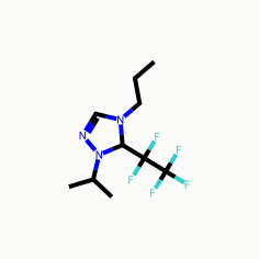 CCCN1C=NN(C(C)C)C1C(F)(F)C(F)(F)F